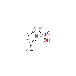 Cc1nc2ccc(C3CC3)cn2c1C(=O)O